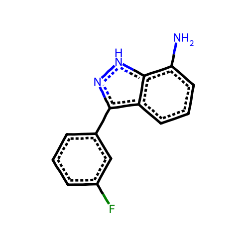 Nc1cccc2c(-c3cccc(F)c3)n[nH]c12